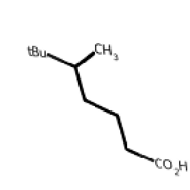 CC(CCCC(=O)O)C(C)(C)C